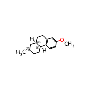 COc1ccc2c(c1)CC[C@@H]1C[C@@H](C)CC[C@H]21